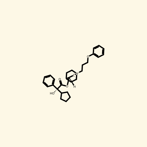 O=C(O[C@H]1C[N+]2(CCCOc3ccccc3)CCC1CC2)[C@](O)(c1ccccc1)C1CCCC1